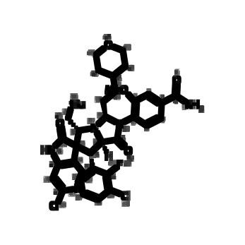 COc1cc(C(N)=O)ccc1N1C(=O)[C@H]2[C@H](c3cccc(Cl)c3F)C3(C(=O)Nc4cc(Cl)ncc43)[C@H](CC(C)(C)C)N2[C@H]1CCC1CCOCC1